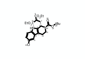 CCOC(=O)C(C[C@H]1c2[nH]c3ccc(Cl)cc3c2CCN1C(=O)OC(C)(C)C)C(=O)OCC